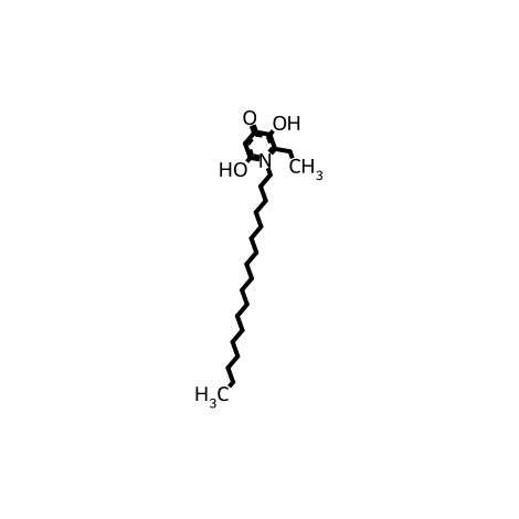 CCCCCCCCCCCCCCCCCCn1c(O)cc(=O)c(O)c1CC